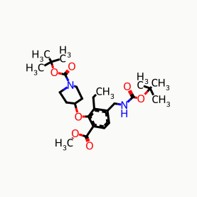 CCc1c(CNC(=O)OC(C)(C)C)ccc(C(=O)OC)c1OC1CCN(C(=O)OC(C)(C)C)CC1